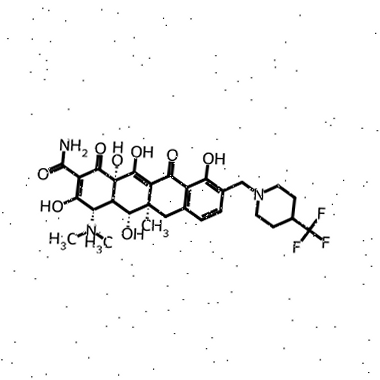 CN(C)[C@@H]1C(O)=C(C(N)=O)C(=O)[C@@]2(O)C(O)=C3C(=O)c4c(ccc(CN5CCC(C(F)(F)F)CC5)c4O)C[C@@]3(C)[C@H](O)C12